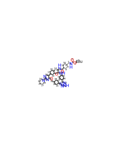 CC(C)(C)OC(=O)NCC1CCC(C(=O)N[C@@H](Cc2ccc(-c3cnc(N4CCCCC4)nc3OCc3ccccc3)cc2)C(=O)Nc2ccc(-c3nn[nH]n3)cc2)CC1